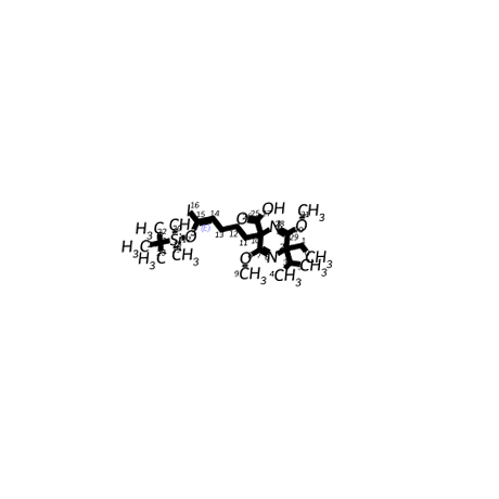 CCC1(C(C)C)N=C(OC)C(CCC/C=C(/I)O[Si](C)(C)C(C)(C)C)(C(=O)O)N=C1OC